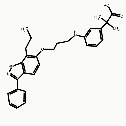 CCCc1c(OCCCNc2cccc(C(C)(C)C(=O)O)c2)ccc2c(-c3ccccc3)n[nH]c12